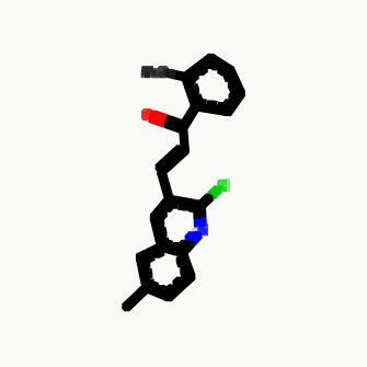 COc1ccccc1C(=O)C=Cc1cc2cc(C)ccc2nc1Cl